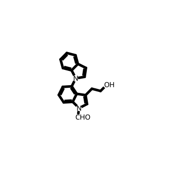 O=Cn1cc(CCO)c2c(-n3ccc4ccccc43)cccc21